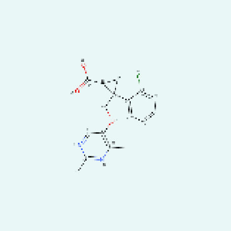 Cc1ncc(OCC2(c3ccccc3Cl)CC2C(=O)O)c(C)n1